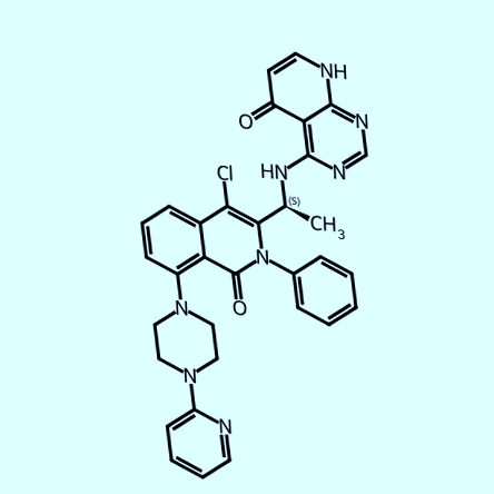 C[C@H](Nc1ncnc2[nH]ccc(=O)c12)c1c(Cl)c2cccc(N3CCN(c4ccccn4)CC3)c2c(=O)n1-c1ccccc1